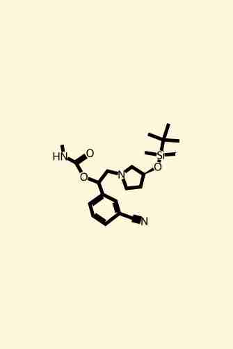 CNC(=O)OC(CN1CC[C@H](O[Si](C)(C)C(C)(C)C)C1)c1cccc(C#N)c1